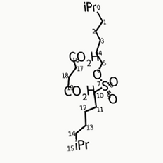 CC(C)CCCCCOS(=O)(=O)CCCCCC(C)C.O=C(O)CCC(=O)O